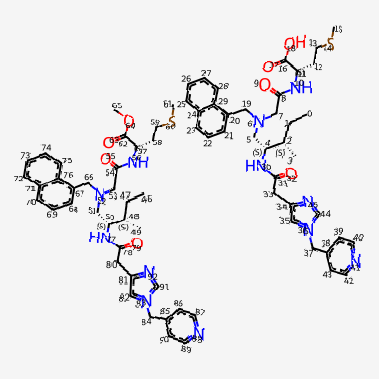 CC[C@H](C)[C@@H](CN(CC(=O)N[C@@H](CCSC)C(=O)O)Cc1cccc2ccccc12)NC(=O)Cc1cn(Cc2ccncc2)cn1.CC[C@H](C)[C@@H](CN(CC(=O)N[C@@H](CCSC)C(=O)OC)Cc1cccc2ccccc12)NC(=O)Cc1cn(Cc2ccncc2)cn1